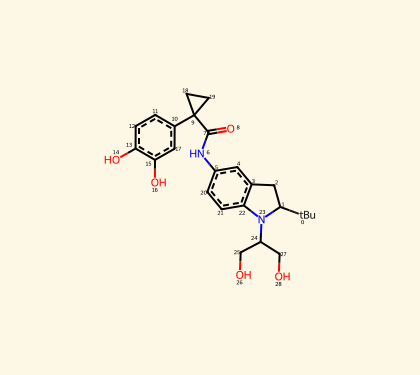 CC(C)(C)C1Cc2cc(NC(=O)C3(c4ccc(O)c(O)c4)CC3)ccc2N1C(CO)CO